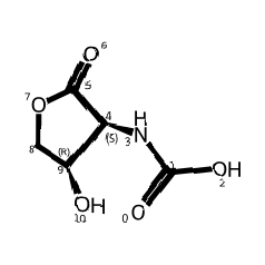 O=C(O)N[C@@H]1C(=O)OC[C@@H]1O